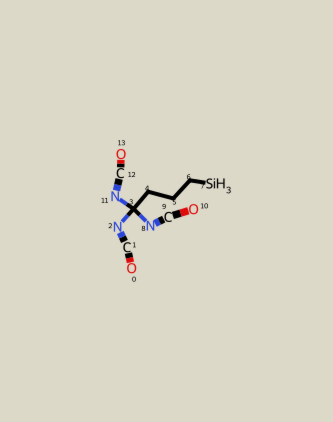 O=C=NC(CCC[SiH3])(N=C=O)N=C=O